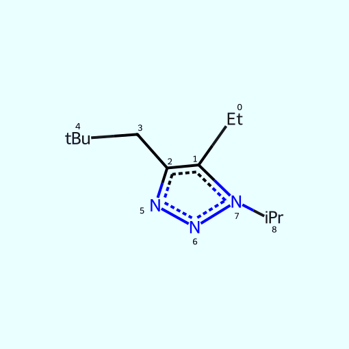 CCc1c(CC(C)(C)C)nnn1C(C)C